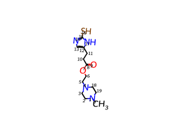 CN1CCN(CCOC(=O)CCc2cnc(S)[nH]2)CC1